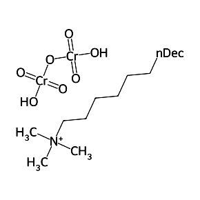 CCCCCCCCCCCCCCCC[N+](C)(C)C.[O]=[Cr](=[O])([OH])[O][Cr](=[O])(=[O])[OH]